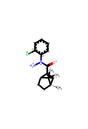 CC1(C)C2CC[C@]1(C)C=C2C(=O)N(N)c1ccccc1Cl